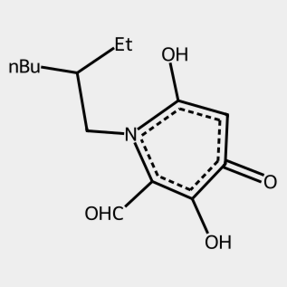 CCCCC(CC)Cn1c(O)cc(=O)c(O)c1C=O